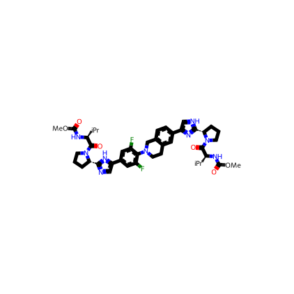 COC(=O)N[C@H](C(=O)N1CCC[C@H]1c1nc(-c2ccc3c(c2)CCN(c2c(F)cc(-c4cnc([C@@H]5CCCN5C(=O)[C@@H](NC(=O)OC)C(C)C)[nH]4)cc2F)C3)c[nH]1)C(C)C